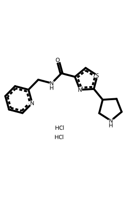 Cl.Cl.O=C(NCc1ccccn1)c1csc(C2CCNC2)n1